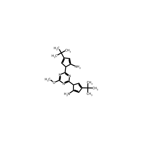 COc1nc(C2C=C(C(C)(C)C)C=C2N)nc(C2C=C(C(C)(C)C)C=C2N)n1